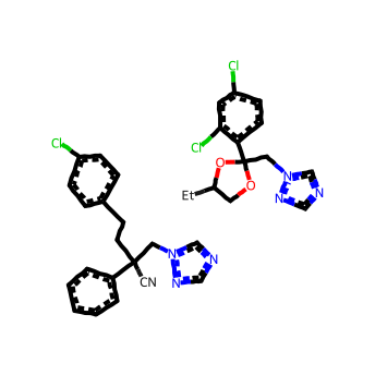 CCC1COC(Cn2cncn2)(c2ccc(Cl)cc2Cl)O1.N#CC(CCc1ccc(Cl)cc1)(Cn1cncn1)c1ccccc1